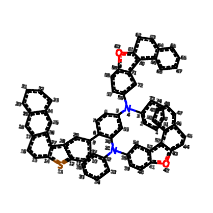 c1ccc(N(c2ccc(-c3ccc4sc5ccc6cc7ccccc7cc6c5c4c3)c(N(c3ccccc3)c3ccc4oc5ccc6ccccc6c5c4c3)c2)c2ccc3oc4ccc5ccccc5c4c3c2)cc1